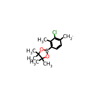 [CH2]c1ccc(B2OC(C)(C)C(C)(C)O2)c(C)c1Cl